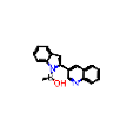 CB(O)n1c(-c2cnc3ccccc3c2)cc2ccccc21